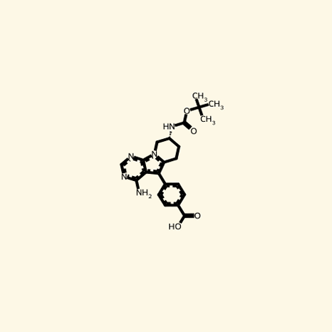 CC(C)(C)OC(=O)N[C@@H]1CCc2c(-c3ccc(C(=O)O)cc3)c3c(N)ncnc3n2C1